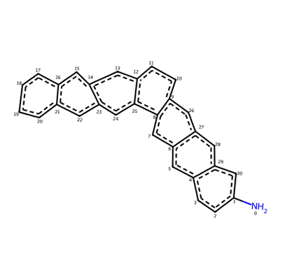 Nc1ccc2cc3cc4c(ccc5cc6cc7ccccc7cc6cc54)cc3cc2c1